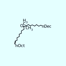 CCCCCCCC/C=C\CCCCCCCC(=O)C(C)(C)CCCCCCCCCCCCCCCCC